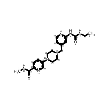 CCNC(=O)Nc1cc(CN2CCN(c3ccc(C(=O)NC)nc3)CC2)ccn1